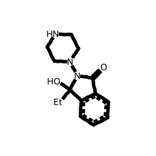 CCC1(O)c2ccccc2C(=O)N1N1CCNCC1